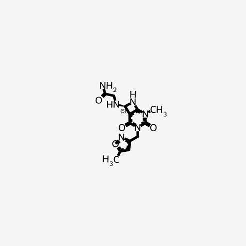 Cc1cc(Cn2c(=O)c3c(n(C)c2=O)N[C@@H]3NCC(N)=O)no1